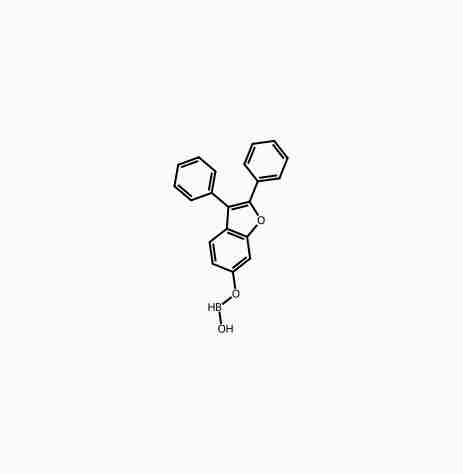 OBOc1ccc2c(-c3ccccc3)c(-c3ccccc3)oc2c1